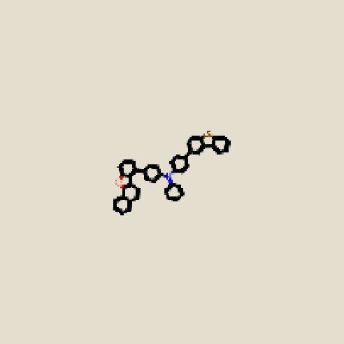 c1ccc(N(c2ccc(-c3ccc4sc5ccccc5c4c3)cc2)c2ccc(-c3cccc4oc5c6ccccc6ccc5c34)cc2)cc1